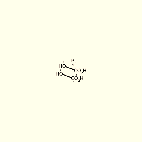 O=C(O)O.O=C(O)O.[Pt]